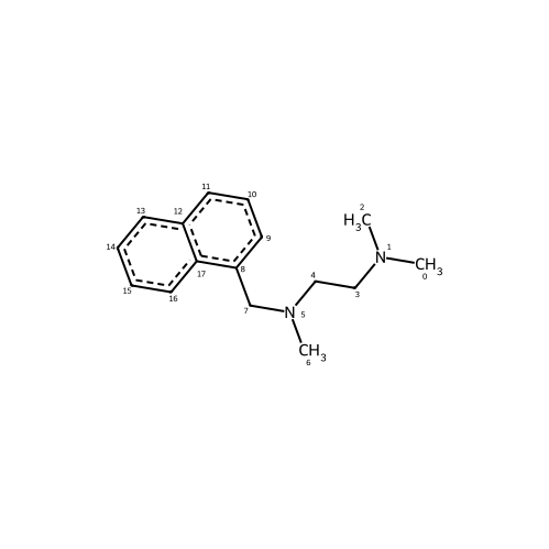 CN(C)CCN(C)Cc1cccc2ccccc12